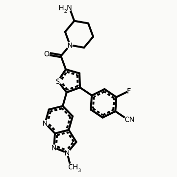 Cn1cc2cc(-c3sc(C(=O)N4CCCC(N)C4)cc3-c3ccc(C#N)c(F)c3)cnc2n1